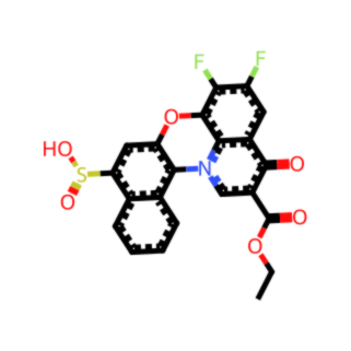 CCOC(=O)c1cn2c3c(c(F)c(F)cc3c1=O)Oc1cc(S(=O)O)c3ccccc3c1-2